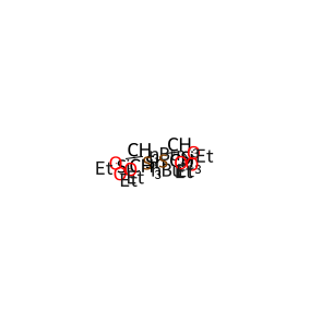 CCC[CH2][Sn]([CH2]CCC)([S]CC(C)(C)C[Si](OCC)(OCC)OCC)[S]CC(C)(C)C[Si](OCC)(OCC)OCC